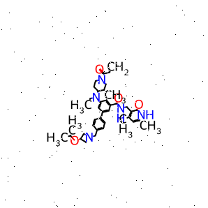 C=CC(=O)N1CCC(N(CC)c2cc(-c3ccc(CN4CC(OC(C)C)C4)cc3)cc(C(=O)NCc3c(C)cc(C)[nH]c3=O)c2C)CC1